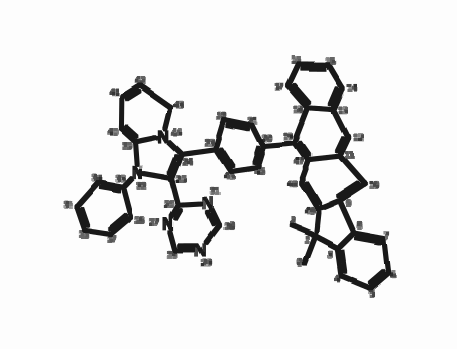 CC1(C)c2ccccc2-c2cc3cc4ccccc4c(-c4ccc(C5=C(c6ncncn6)N(c6ccccc6)C6=CC=CCN65)cc4)c3cc21